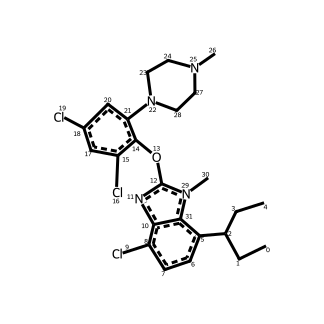 CCC(CC)c1ccc(Cl)c2nc(Oc3c(Cl)cc(Cl)cc3N3CCN(C)CC3)n(C)c12